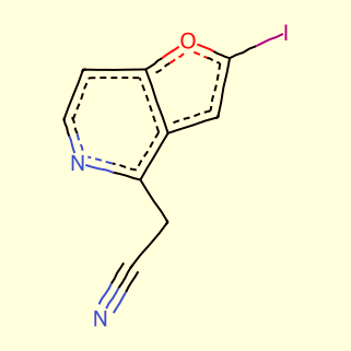 N#CCc1nccc2oc(I)cc12